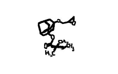 CCC(C)(C)C(=O)OC12CC3CC(CC(OCC4CO4)(C3)C1)C2